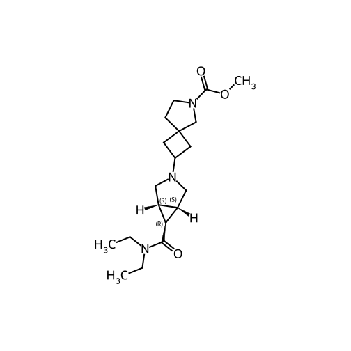 CCN(CC)C(=O)[C@H]1[C@@H]2CN(C3CC4(CCN(C(=O)OC)C4)C3)C[C@@H]21